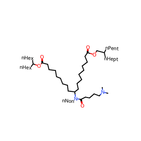 CCCCCCCCCN(C(=O)CCCCN(C)C)C(CCCCCCCCC(=O)OCC(CCCCC)CCCCCCC)CCCCCCCCC(=O)OC(CCCCCC)CCCCCC